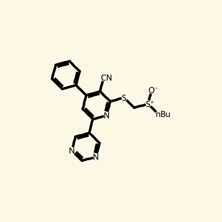 CCCC[S+]([O-])CSc1nc(-c2cncnc2)cc(-c2ccccc2)c1C#N